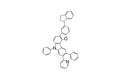 c1ccc(-c2cc3c4c5oc6ccc(C7CCc8ccccc87)cc6c5ccc4n(-c4ccccc4)c3cc2-c2ccccn2)cc1